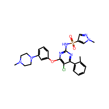 Cc1ccccc1-c1nc(NS(=O)(=O)c2cnn(C)c2)nc(Oc2cccc(N3CCN(C)CC3)c2)c1Cl